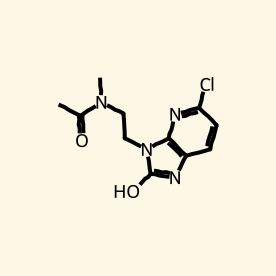 CC(=O)N(C)CCn1c(O)nc2ccc(Cl)nc21